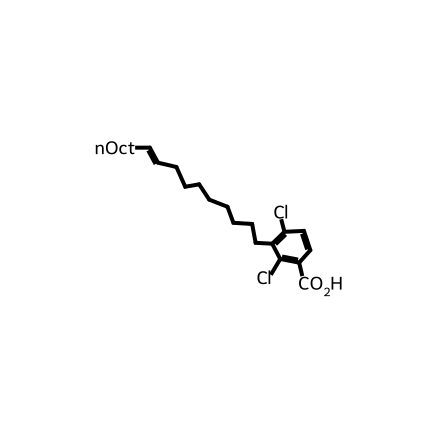 CCCCCCCCC=CCCCCCCCCc1c(Cl)ccc(C(=O)O)c1Cl